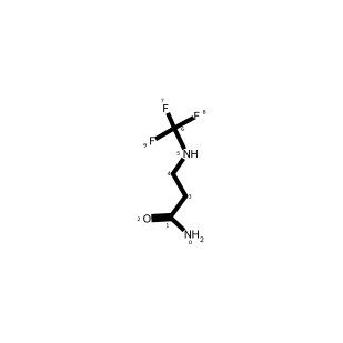 NC(=O)CCNC(F)(F)F